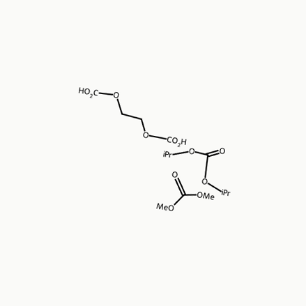 CC(C)OC(=O)OC(C)C.COC(=O)OC.O=C(O)OCCOC(=O)O